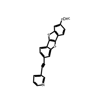 CCCCCCCCCCc1ccc2c(c1)sc1c3ccc(C#Cc4cccnc4)cc3sc21